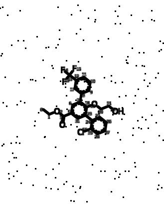 CCOC(=O)c1cc(-c2cccc(C(F)(F)F)c2)c(OCCO)c(-c2ccccc2Cl)c1